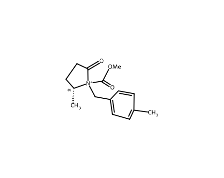 COC(=O)[N+]1(Cc2ccc(C)cc2)C(=O)CC[C@H]1C